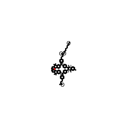 COCCCCCCOC(=O)CCc1ccc(N(c2ccc(-c3nc4ccc(C)cc4nc3-c3ccc(N(c4ccc(CCC(C)=O)cc4)c4ccc5c(c4)C(C)(C)c4ccccc4-5)cc3)cc2)c2ccc3c(c2)C(C)(C)c2ccccc2-3)cc1